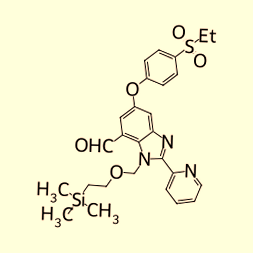 CCS(=O)(=O)c1ccc(Oc2cc(C=O)c3c(c2)nc(-c2ccccn2)n3COCC[Si](C)(C)C)cc1